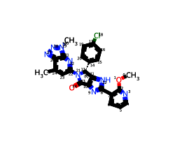 COc1ncccc1-c1nc2c([nH]1)[C@@H](c1ccc(Cl)cc1)N(c1cc(C)c3nnn(C)c3n1)C2=O